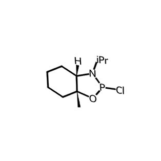 CC(C)N1[C@H]2CCCC[C@@]2(C)OP1Cl